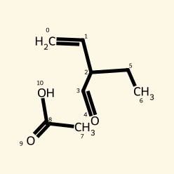 C=CC(C=O)CC.CC(=O)O